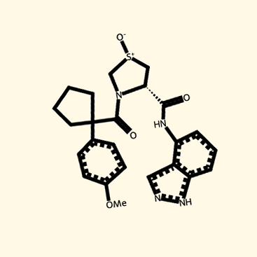 COc1ccc(C2(C(=O)N3C[S+]([O-])C[C@@H]3C(=O)Nc3cccc4[nH]ncc34)CCCC2)cc1